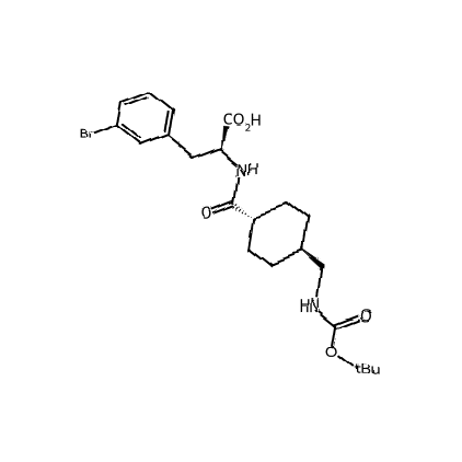 CC(C)(C)OC(=O)NC[C@H]1CC[C@H](C(=O)N[C@@H](Cc2cccc(Br)c2)C(=O)O)CC1